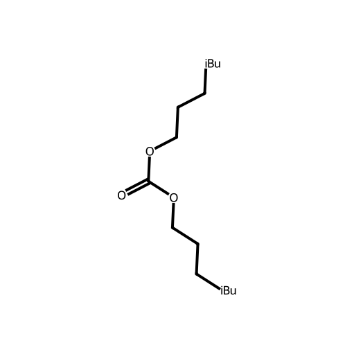 CCC(C)CCCOC(=O)OCCCC(C)CC